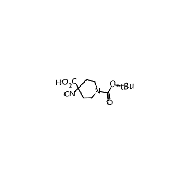 [C-]#[N+]C1(C(=O)O)CCN(C(=O)OC(C)(C)C)CC1